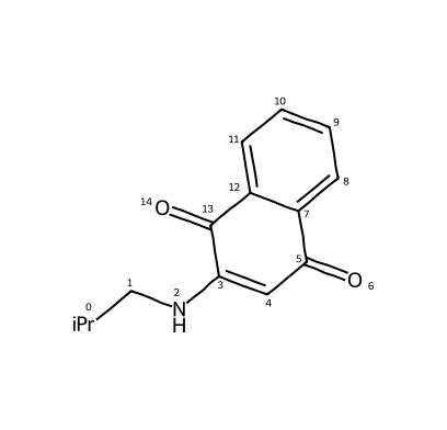 CC(C)CNC1=CC(=O)c2ccccc2C1=O